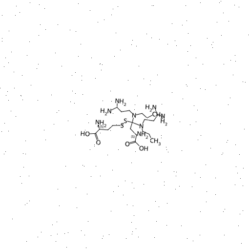 CCCN(CCC(N)N)C(C[C@H](N)C(=O)O)(SSCC[C@H](N)C(=O)O)N(CCC)CCC(N)N